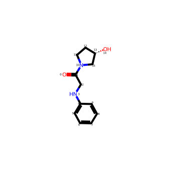 O=C(CNc1ccccc1)N1CC[C@H](O)C1